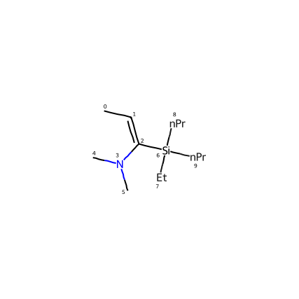 CC=C(N(C)C)[Si](CC)(CCC)CCC